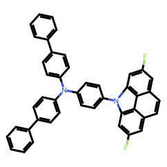 Fc1cc2ccc3cc(F)cc4c3c2c(c1)n4-c1ccc(N(c2ccc(-c3ccccc3)cc2)c2ccc(-c3ccccc3)cc2)cc1